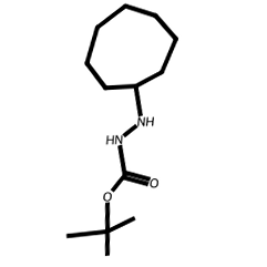 CC(C)(C)OC(=O)NNC1CCCCCCC1